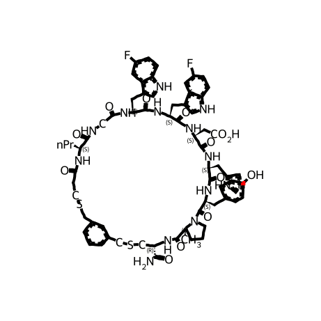 CCC[C@@H]1NC(=O)CCSCc2cccc(c2)CSC[C@@H](C(N)=O)NC(=O)[C@]2(C)CCCN2C(=O)[C@H](Cc2ccc(O)cc2)NC(=O)[C@H](Cc2cnc[nH]2)NC(=O)[C@H](CC(=O)O)NC(=O)[C@H](Cc2c[nH]c3ccc(F)cc23)NC(=O)[C@H](Cc2c[nH]c3ccc(F)cc23)NC(=O)CNC1=O